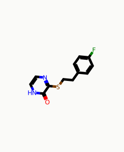 O=c1[nH]ccnc1SCCc1ccc(F)cc1